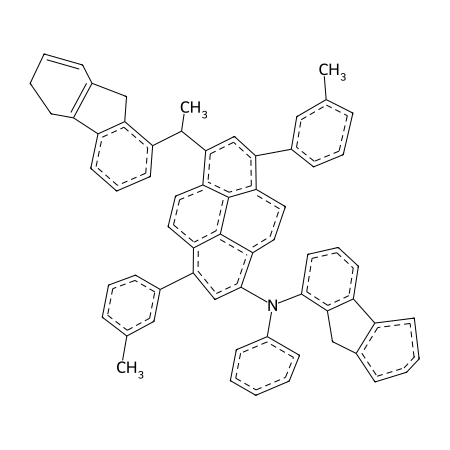 Cc1cccc(-c2cc(C(C)c3cccc4c3CC3=C4CCC=C3)c3ccc4c(-c5cccc(C)c5)cc(N(c5ccccc5)c5cccc6c5Cc5ccccc5-6)c5ccc2c3c45)c1